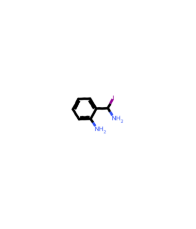 Nc1ccccc1C(N)I